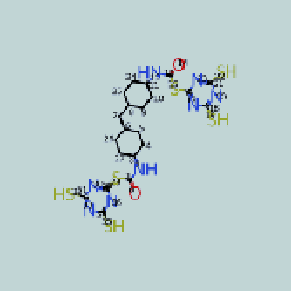 O=C(NC1CCC(CC2CCC(NC(=O)Sc3nc(S)nc(S)n3)CC2)CC1)Sc1nc(S)nc(S)n1